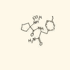 NC(=O)C(Cc1ccc(I)cc1)NC(=O)C1(NC(=O)O)CCCC1